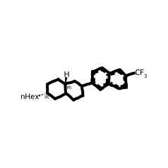 CCCCCC[C@@H]1CC[C@@H]2CC(c3ccc4cc(C(F)(F)F)ccc4c3)CCC2C1